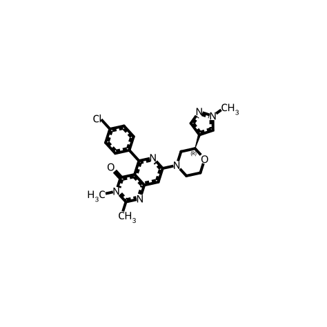 Cc1nc2cc(N3CCO[C@H](c4cnn(C)c4)C3)nc(-c3ccc(Cl)cc3)c2c(=O)n1C